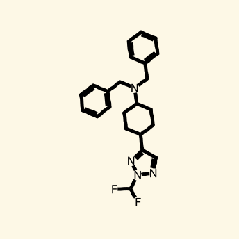 FC(F)n1ncc(C2CCC(N(Cc3ccccc3)Cc3ccccc3)CC2)n1